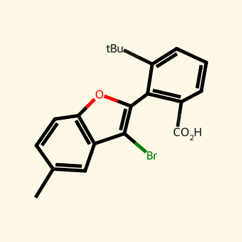 Cc1ccc2oc(-c3c(C(=O)O)cccc3C(C)(C)C)c(Br)c2c1